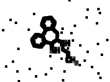 C=CCNC1Cc2ccccc2-c2ccccc2C1=N